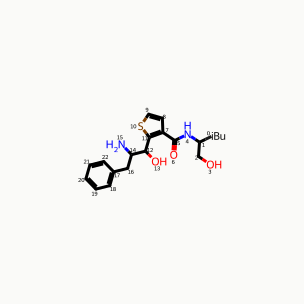 CCC(C)C(CO)NC(=O)c1ccsc1C(O)C(N)Cc1ccccc1